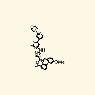 COc1ccc(CN(C(=O)c2cnc(Nc3cc(-c4ccnc(N5CCOCC5)c4)nc(C)n3)s2)c2c(C)cccc2Cl)cc1